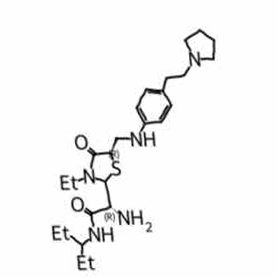 CCC(CC)NC(=O)[C@@H](N)C1S[C@H](CNc2ccc(CCN3CCCC3)cc2)C(=O)N1CC